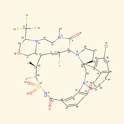 C[C@@H]1[C@@H](C)C/C=C(\F)[C@H](C(=O)N(C)CCN2CCOCC2C(F)(F)F)N2CCC[C@@]23CN2CCCCc4cc(Cl)cc3c4COc3ccc(cc32)C(=O)NS1(=O)=O